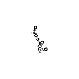 CN(C(=O)OCc1ccccc1)C1CCC(CCN2CCC(C3CCN(C(=O)OCc4ccccc4)CC3)CC2)(c2ccccc2)CC1